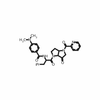 CC(C)CC(NC(=O)c1ccc(N(C)C)cc1)C(=O)N1CCC2C1C(=O)CN2C(=O)c1ccccn1